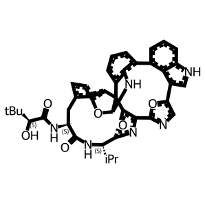 CC(C)[C@@H]1NC(=O)[C@@H](NC(=O)[C@@H](O)C(C)(C)C)Cc2ccc3c(c2)C24c5cccc(c5NC2O3)-c2cccc3[nH]cc(c23)-c2cnc(o2)-c2nc1oc24